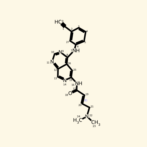 C#Cc1cccc(Nc2ncnc3cnc(NC(=O)/C=C/CN(C)C)cc23)c1